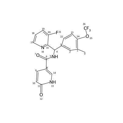 Cc1cc(C(NC(=O)c2ccc(=O)[nH]c2)c2ncccc2F)ccc1OC(F)(F)F